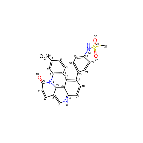 Cc1ccc([N+](=O)[O-])cc1-n1c(=O)ccc2cnc3ccc(-c4ccc(NS(C)(=O)=O)cc4)cc3c21